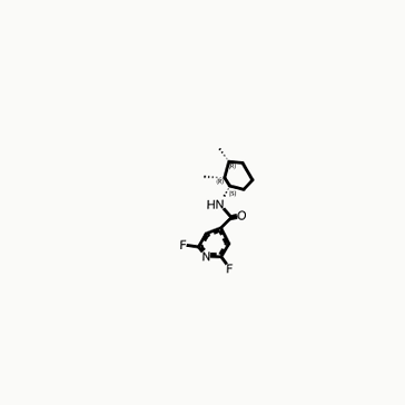 C[C@@H]1[C@H](C)CCC[C@@H]1NC(=O)c1cc(F)nc(F)c1